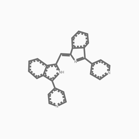 C(=C1N=C(c2ccncc2)c2ccccc21)c1[nH]c(-c2ccncc2)c2ccccc12